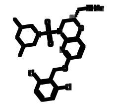 CC(=O)NC[C@H]1CN(S(=O)(=O)N2CC(C)CC(C)C2)c2nc(OCc3c(Cl)cccc3Cl)ccc2O1